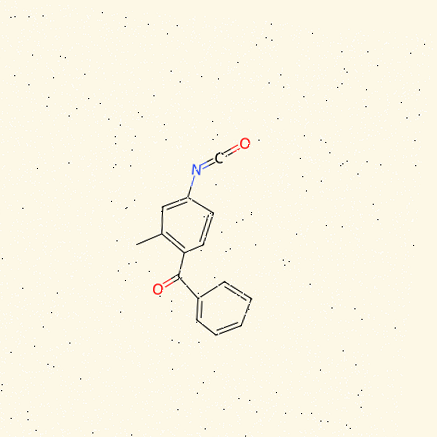 Cc1cc(N=C=O)ccc1C(=O)c1ccccc1